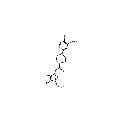 COc1cc(N2CCN(C(=O)Cn3nc(C(=O)O)c(Cl)c3C)CC2)ccc1Cl